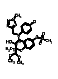 COC(OC)[C@]1(C)Oc2ccc(OS(C)(=O)=O)cc2[C@@H](N(Cc2nnn(C)n2)c2ccc(Cl)cc2)[C@@H]1O